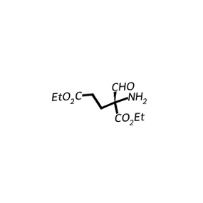 CCOC(=O)CC[C@@](N)(C=O)C(=O)OCC